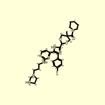 CC1(C(=O)N2CCCCC2)COC(c2nc(-c3ccc(F)cc3)c(-c3ccnc(NCCCN4CCNC4)n3)[nH]2)OC1